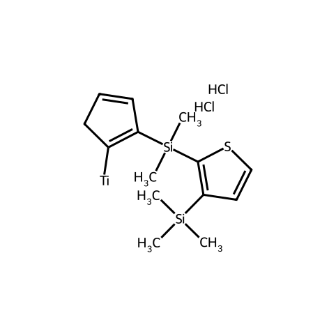 C[Si](C)(C)c1ccsc1[Si](C)(C)C1=[C]([Ti])CC=C1.Cl.Cl